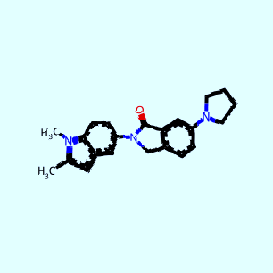 Cc1cc2cc(N3Cc4ccc(N5CCCC5)cc4C3=O)ccc2n1C